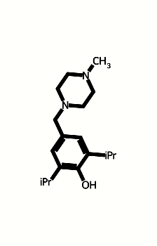 CC(C)c1cc(CN2CCN(C)CC2)cc(C(C)C)c1O